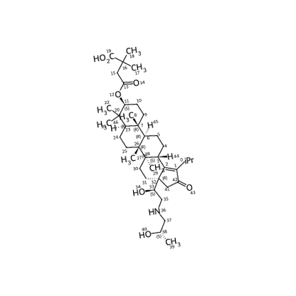 CC(C)C1=C2[C@H]3CC[C@@H]4[C@@]5(C)CC[C@H](OC(=O)CC(C)(C)C(=O)O)C(C)(C)[C@@H]5CC[C@@]4(C)[C@]3(C)CC[C@@]2([C@H](O)CNC[C@H](C)O)CC1=O